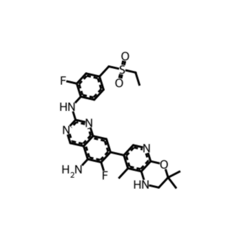 CCS(=O)(=O)Cc1ccc(Nc2ncc3c(N)c(F)c(-c4cnc5c(c4C)NCC(C)(C)O5)cc3n2)c(F)c1